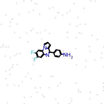 Nc1ccc(-c2nc3cc(F)c(F)cc3n3cccc23)cc1